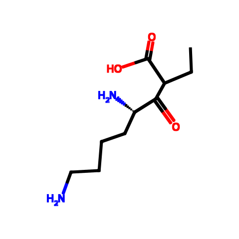 CCC(C(=O)O)C(=O)[C@@H](N)CCCCN